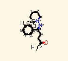 CC(=O)CCC(=NN1CCCC[Si]1(C)C)c1ccccc1